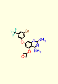 Nc1nc(N)c2c(OC3COC3)cc(Oc3cc(Br)cc(C(F)(F)F)c3)cc2n1